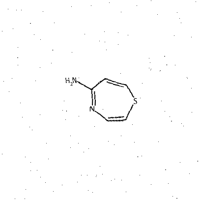 NC1=NC=CSC=C1